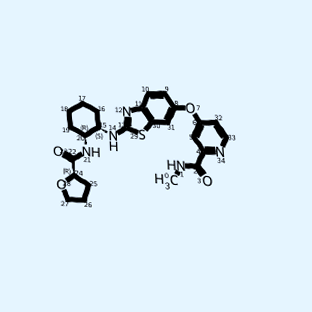 CNC(=O)c1cc(Oc2ccc3nc(N[C@H]4CCCC[C@H]4NC(=O)[C@H]4CCCO4)sc3c2)ccn1